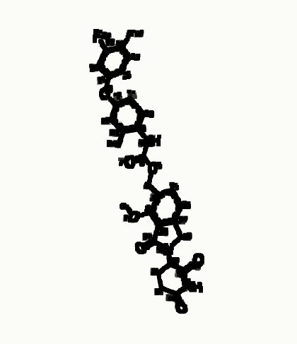 COc1c(COC(=O)Nc2ccc(Oc3ccc(F)c(F)c3)cc2C)ccc2c1C(=O)N(C1CCC(=O)NC1=O)C2